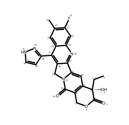 CC[C@@]1(O)C(=O)OCc2c1cc1n(c2=O)Cc2c-1nc1cc(F)c(C)cc1c2-c1cc[nH]n1